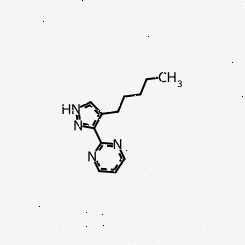 CCCCCc1c[nH]nc1-c1ncccn1